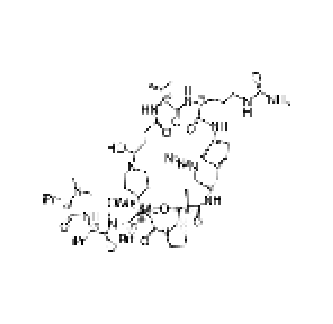 C=C(C)[C@H](NC(=O)CCC(O)N1CCC(C(C)=O)CC1)C(=O)N[C@@H](CCCNC(N)=O)C(=O)Nc1ccc(C[C@@H](CN=[N+]=[N-])NC(=O)[C@H](C)[C@@H](OC)[C@@H]2CCCN2C(=O)C[C@@H](OC)[C@H]([C@@H](C)CC)N(C)C(=O)[C@@H](NC(=O)[C@H](C(C)C)N(C)C)C(C)C)cc1